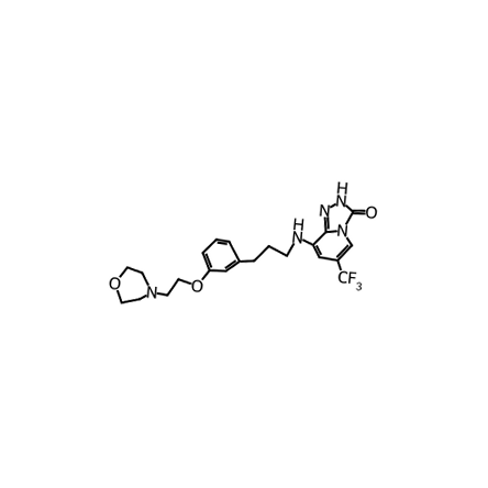 O=c1[nH]nc2c(NCCCc3cccc(OCCN4CCOCC4)c3)cc(C(F)(F)F)cn12